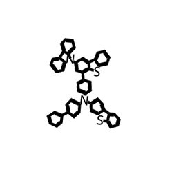 c1ccc(-c2ccc(N(c3ccc(-c4cc(-n5c6ccccc6c6ccccc65)cc5c4sc4ccccc45)cc3)c3ccc4c(c3)sc3ccccc34)cc2)cc1